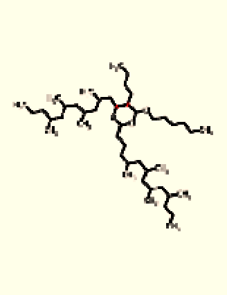 CCCCCCOC(CCCC(C)CC(C)CC(C)CC(C)CCC)OC(CCCC(C)CC(C)CC(C)CC(C)CCC)OCCCCCC